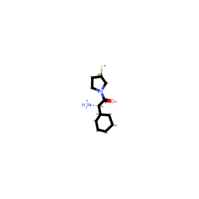 N[C@H](C(=O)N1CC[C@@H](F)C1)C1CCCCC1